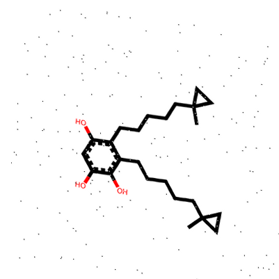 CC1(CCCCCc2c(O)cc(O)c(O)c2CCCCCC2(C)CC2)CC1